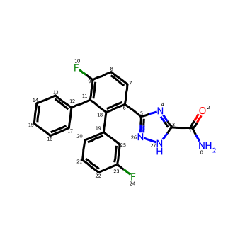 NC(=O)c1nc(-c2ccc(F)c(-c3ccccc3)c2-c2cccc(F)c2)n[nH]1